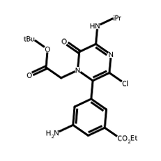 CCOC(=O)c1cc(N)cc(-c2c(Cl)nc(NC(C)C)c(=O)n2CC(=O)OC(C)(C)C)c1